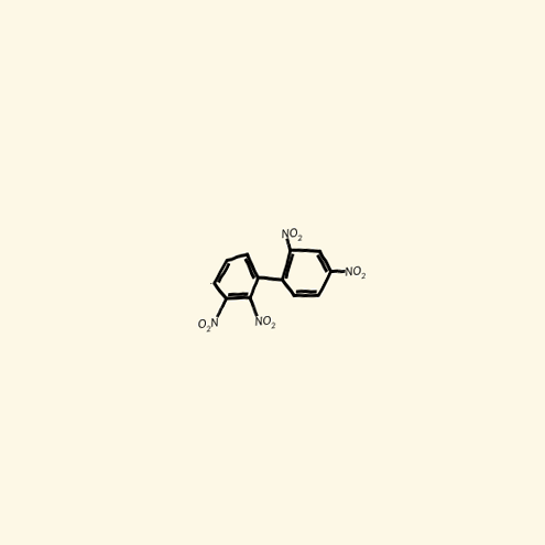 O=[N+]([O-])c1ccc(-c2cc[c]c([N+](=O)[O-])c2[N+](=O)[O-])c([N+](=O)[O-])c1